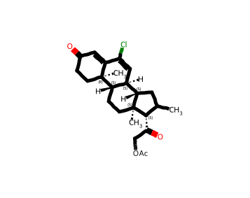 CC(=O)OCC(=O)[C@H]1C(C)C[C@H]2[C@@H]3C=C(Cl)C4=CC(=O)CC[C@]4(C)[C@H]3CC[C@]12C